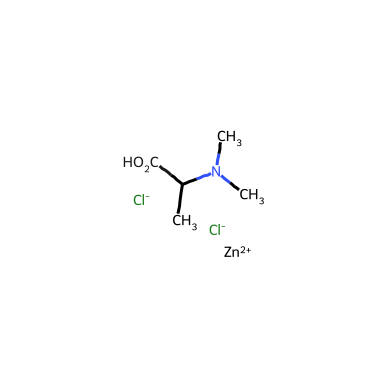 CC(C(=O)O)N(C)C.[Cl-].[Cl-].[Zn+2]